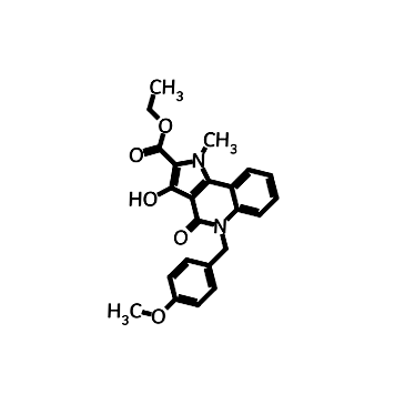 CCOC(=O)c1c(O)c2c(=O)n(Cc3ccc(OC)cc3)c3ccccc3c2n1C